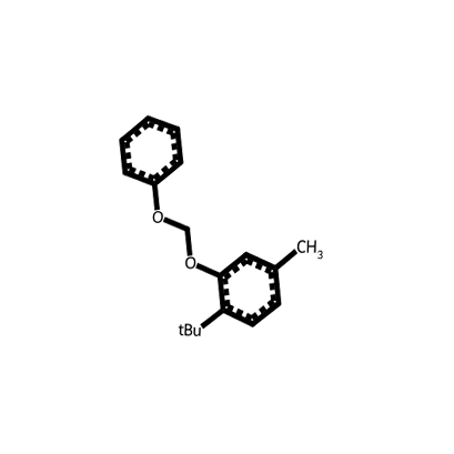 Cc1ccc(C(C)(C)C)c(OCOc2ccccc2)c1